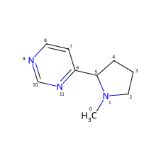 CN1CCCC1c1ccncn1